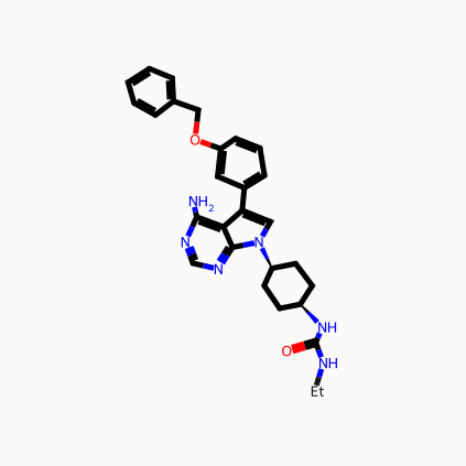 CCNC(=O)N[C@H]1CC[C@@H](n2cc(-c3cccc(OCc4ccccc4)c3)c3c(N)ncnc32)CC1